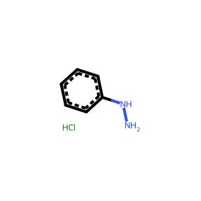 Cl.NNc1ccccc1